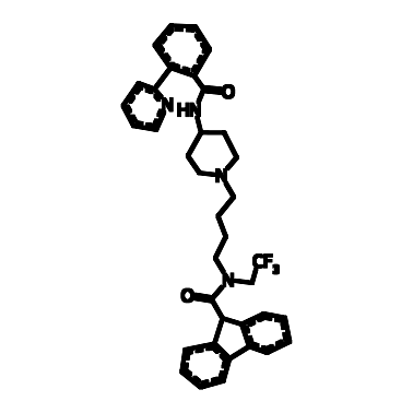 O=C(NC1CCN(CCCCN(CC(F)(F)F)C(=O)C2c3ccccc3-c3ccccc32)CC1)c1ccccc1-c1ccccn1